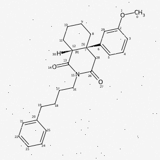 COc1cccc([C@]23CCCC[C@H]2C(=O)N(CCCCc2ccccc2)C(=O)C3)c1